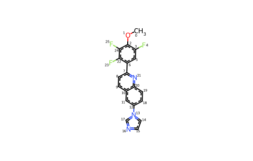 COc1c(F)cc(-c2ccc3cc(-n4ccnc4)ccc3n2)c(F)c1F